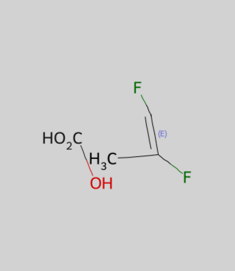 C/C(F)=C\F.O=C(O)O